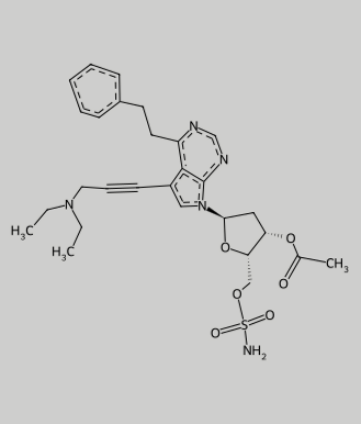 CCN(CC)CC#Cc1cn([C@H]2C[C@H](OC(C)=O)[C@H](COS(N)(=O)=O)O2)c2ncnc(CCc3ccccc3)c12